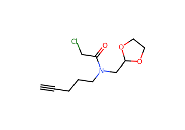 C#CCCCN(CC1OCCO1)C(=O)CCl